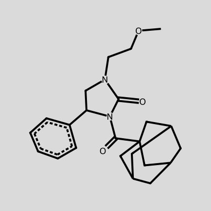 COCCN1CC(c2ccccc2)N(C(=O)C23CC4CC(CC(C4)C2)C3)C1=O